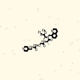 CCOC(OCC)[C@H](C)N(Cc1cccc2cccnc12)C(=O)[C@H](C)NC(=O)CONC(=O)NCc1ccncc1